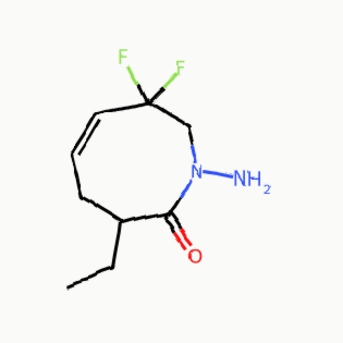 CCC1C/C=C\C(F)(F)CN(N)C1=O